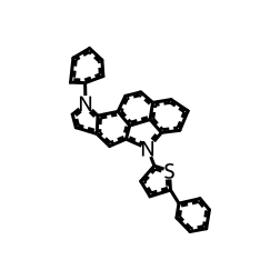 c1ccc(-c2ccc(-n3c4cccc5ccc6c(c54)c3cc3ccn(-c4ccccc4)c36)s2)cc1